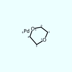 C1COCCO1.[Pd]